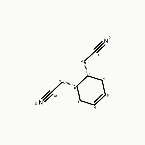 N#CC[C@@H]1CC=CC[C@@H]1CC#N